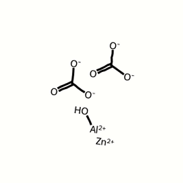 O=C([O-])[O-].O=C([O-])[O-].[OH][Al+2].[Zn+2]